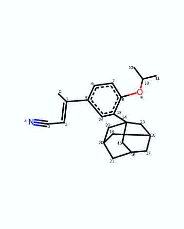 CC(=CC#N)c1ccc(OC(C)C)c(C23CC4CC(CC(C4)C2)C3)c1